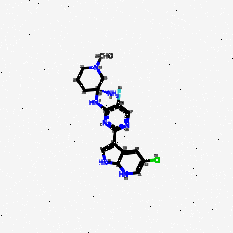 N[C@]1(Nc2nc(C3=CNC4NC=C(Cl)C=C34)ncc2F)CCCN(C=O)C1